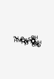 CCCNC(=O)Cc1csc(Sc2cc(O)c(NC=O)cc2O)n1